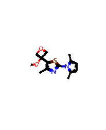 COC1(c2sc(-n3c(C)ccc3C)nc2C)COC1